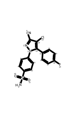 N#Cc1nn(-c2ccc(S(N)(=O)=O)cc2)c(-c2ccc(F)cc2)c1Cl